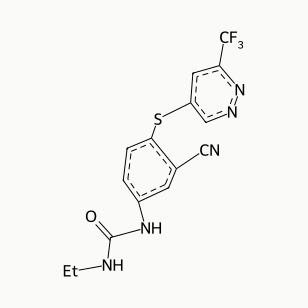 CCNC(=O)Nc1ccc(Sc2cnnc(C(F)(F)F)c2)c(C#N)c1